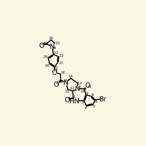 O=C1Nc2ccc(Br)cc2C(=O)N2CCN(C(=O)COc3ccc(N4CCC4=O)cc3)CC12